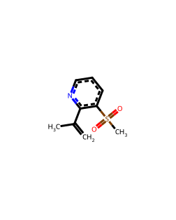 C=C(C)c1ncccc1S(C)(=O)=O